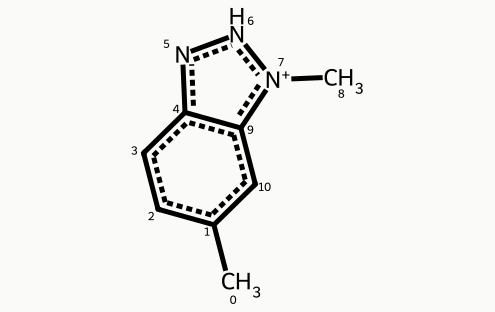 Cc1ccc2n[nH][n+](C)c2c1